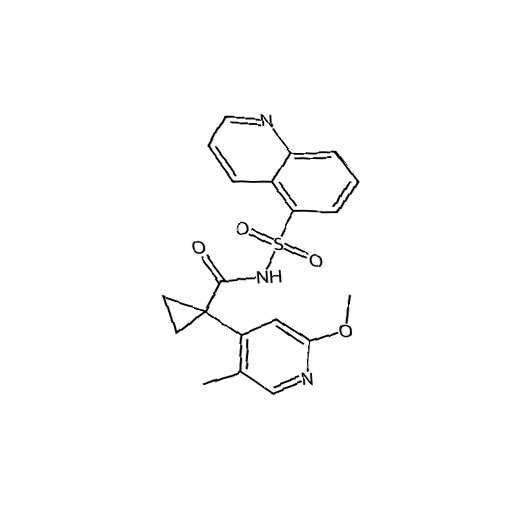 COc1cc(C2(C(=O)NS(=O)(=O)c3cccc4ncccc34)CC2)c(C)cn1